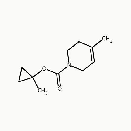 CC1=CCN(C(=O)OC2(C)CC2)CC1